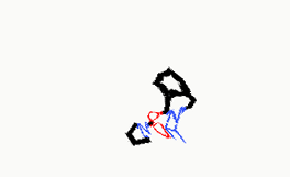 O=C(OC1NCCc2ccccc21)N1CCCC1